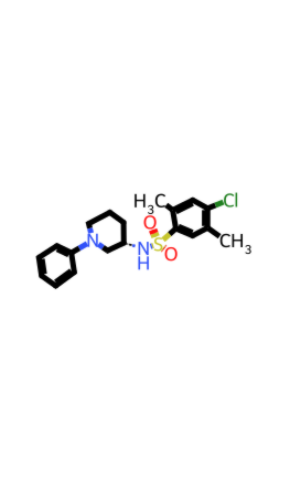 Cc1cc(S(=O)(=O)N[C@H]2CCCN(c3ccccc3)C2)c(C)cc1Cl